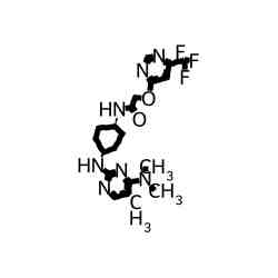 Cc1cnc(N[C@H]2CC[C@@H](NC(=O)COc3cc(C(F)(F)F)ncn3)CC2)nc1N(C)C